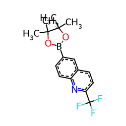 CC1(C)OB(c2ccc3nc(C(F)(F)F)ccc3c2)OC1(C)C